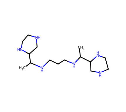 CC(NCCCNC(C)C1CNCCN1)C1CNCCN1